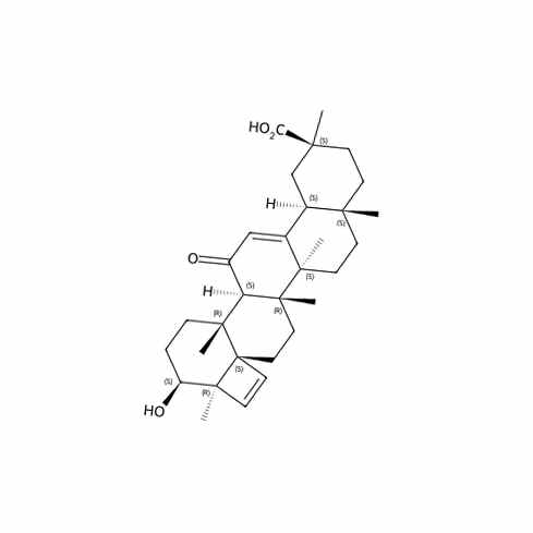 C[C@]1(C(=O)O)CC[C@]2(C)CC[C@]3(C)C(=CC(=O)[C@@H]4[C@@]5(C)CC[C@H](O)[C@]6(C)C=C[C@]65CC[C@]43C)[C@H]2C1